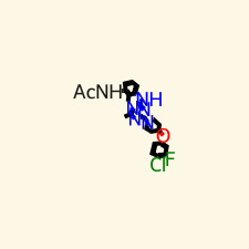 CC(=O)Nc1cccc(Nc2nc(C)nc(N3CCC(Oc4ccc(Cl)c(F)c4)CC3)n2)c1C